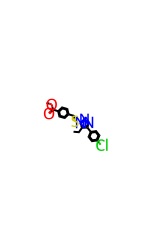 CCc1c(-c2ccc(Cl)cc2)nnn1SCc1ccc(C(=O)OC)cc1